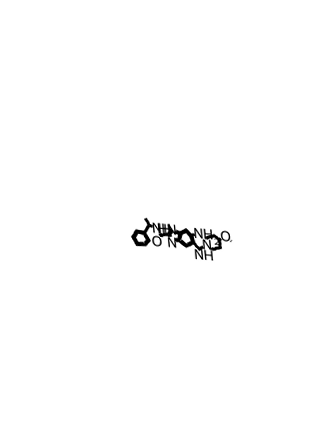 COC1CCN(C(=N)c2cc3nc(C(=O)NC(C)c4ccccc4)[nH]c3cc2N)CC1